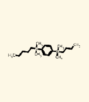 CCCCC[Si](C)(C)c1ccc([Si](C)(C)CCCC)cc1